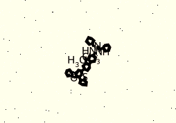 CC1(C)c2cc(-c3cc4c5ccccc5oc4c4c3sc3ccccc34)ccc2-c2ccc(C3NC(c4ccccc4)=NC(c4ccccc4)N3)cc21